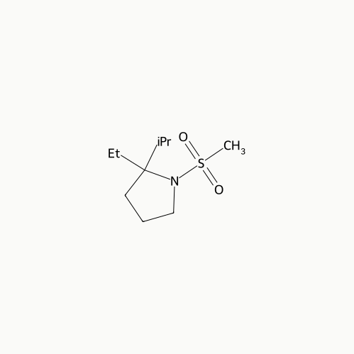 CCC1(C(C)C)CCCN1S(C)(=O)=O